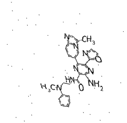 Cc1cnc2ccc(-c3nc(C(=O)NCCN(C)c4ccccc4)c(N)nc3-c3ncco3)cn12